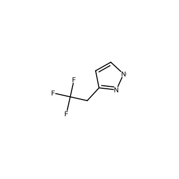 FC(F)(F)CC1=N[N]C=C1